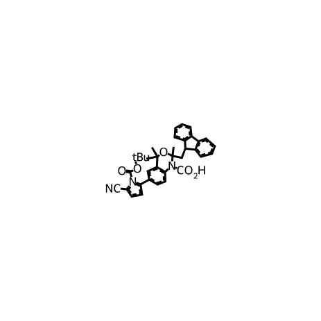 CC(C)(C)OC(=O)n1c(C#N)ccc1-c1ccc2c(c1)C(C)(C)OC(C)(CC1c3ccccc3-c3ccccc31)N2C(=O)O